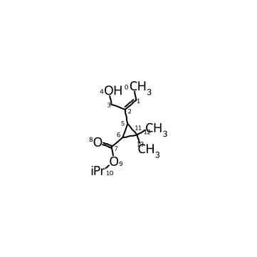 CC=C(CO)C1C(C(=O)OC(C)C)C1(C)C